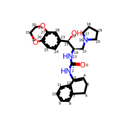 O=C(NC1=CCCc2ccccc21)N[C@H](CN1CCCC1)[C@H](O)c1ccc2c(c1)OCCO2